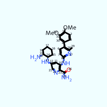 COc1ccc(-c2ccc(Nc3cc(N[C@@H]4CCCC[C@@H]4N)cnc3C(N)=O)nc2C)cc1OC